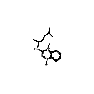 CC(C)CCC(C)Nc1n[n+]([O-])c2ccccc2[n+]1[O-]